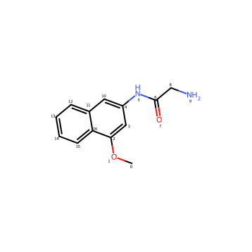 COc1cc(NC(=O)CN)cc2ccccc12